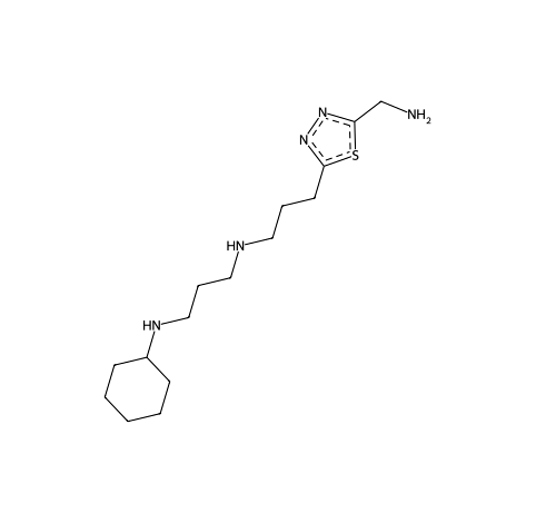 NCc1nnc(CCCNCCCNC2CCCCC2)s1